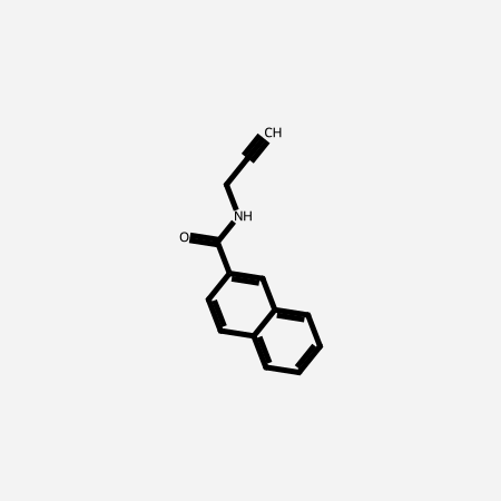 C#CCNC(=O)c1ccc2ccccc2c1